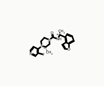 C[C@@H](NC(=O)N1CCN(c2ccncc2F)[C@@H](C)C1)c1cccc2occc12